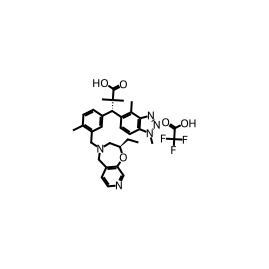 CC[C@@H]1CN(Cc2cc([C@@H](c3ccc4c(nnn4C)c3C)C(C)(C)C(=O)O)ccc2C)Cc2ccncc2O1.O=C(O)C(F)(F)F